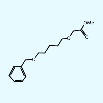 COC(=O)COCCCCCOCc1ccccc1